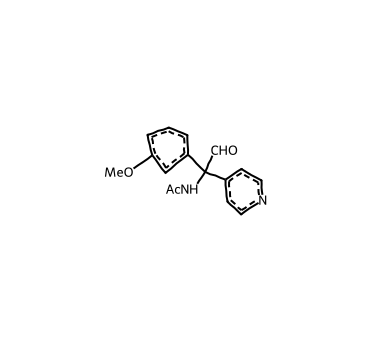 COc1cccc(C(C=O)(NC(C)=O)c2ccncc2)c1